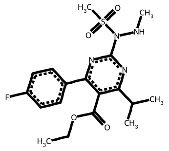 CCOC(=O)c1c(-c2ccc(F)cc2)nc(N(NC)S(C)(=O)=O)nc1C(C)C